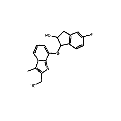 Cc1c(CO)nc2c(NC3c4ccc(F)cc4CC3O)cccn12